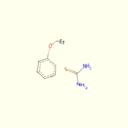 CCOc1ccccc1.NC(N)=S